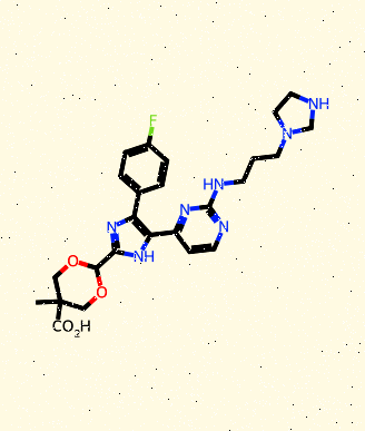 CC1(C(=O)O)COC(c2nc(-c3ccc(F)cc3)c(-c3ccnc(NCCCN4CCNC4)n3)[nH]2)OC1